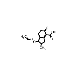 C=COOC1C(C)CC2=C(C(=O)O)C(=O)CCC21